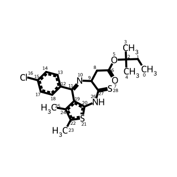 CCC(C)(C)OC(=O)CC1N=C(c2ccc(Cl)cc2)c2c(sc(C)c2C)NC1=S